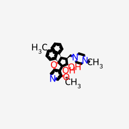 COc1cncc2c1[C@]1(O)[C@H](O)[C@H](CN3CCN(C)CC3)[C@@H](c3ccccc3)[C@]1(c1ccc(C)cc1)O2